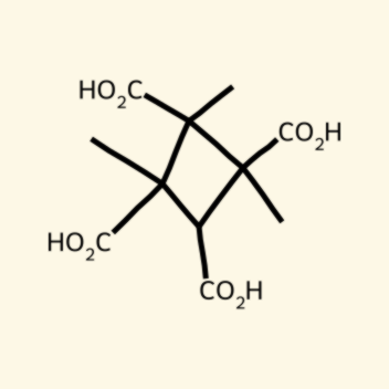 CC1(C(=O)O)C(C(=O)O)C(C)(C(=O)O)C1(C)C(=O)O